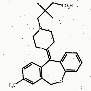 CC(C)(CC(=O)O)CN1CCC(=C2c3ccc(C(F)(F)F)cc3COc3ccccc32)CC1